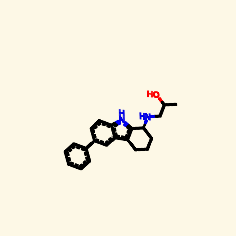 CC(O)CN[C@H]1CCCc2c1[nH]c1ccc(-c3ccccc3)cc21